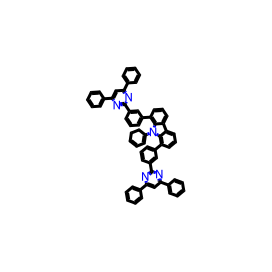 C1=CCCC(n2c3c(-c4cccc(-c5nc(-c6ccccc6)cc(-c6ccccc6)n5)c4)cccc3c3cccc(-c4cccc(-c5nc(-c6ccccc6)cc(-c6ccccc6)n5)c4)c32)=C1